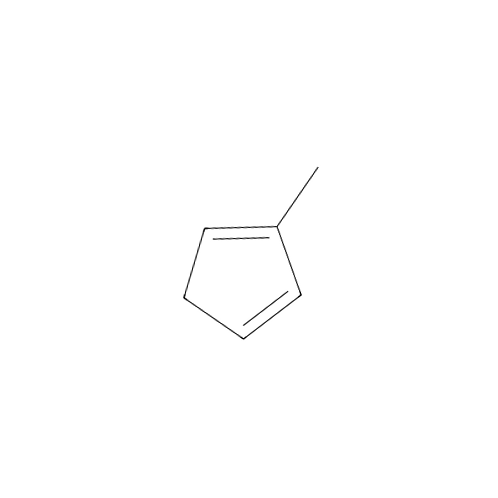 CC1=CCC=C1